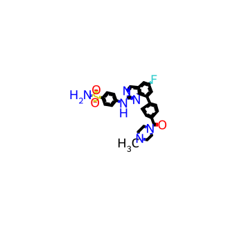 CN1CCN(C(=O)c2ccc(-c3cc(F)cc4cnc(Nc5ccc(S(N)(=O)=O)cc5)nc34)cc2)CC1